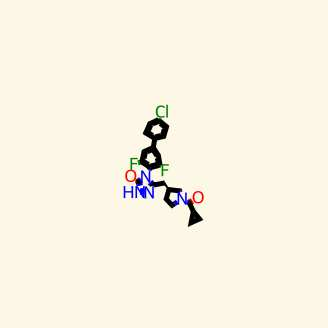 O=C(C1CC1)N1CC[C@@H](Cc2n[nH]c(=O)n2-c2c(F)cc(-c3ccc(Cl)cc3)cc2F)C1